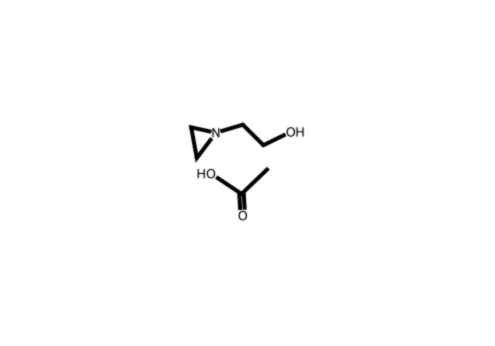 CC(=O)O.OCCN1CC1